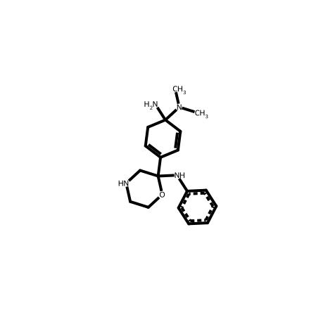 CN(C)C1(N)C=CC(C2(Nc3ccccc3)CNCCO2)=CC1